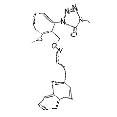 COc1cccc(-n2nnn(C)c2=O)c1CON=CCc1ccc2ccccc2c1